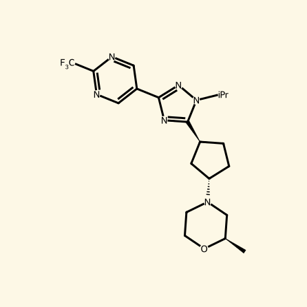 CC(C)n1nc(-c2cnc(C(F)(F)F)nc2)nc1[C@H]1CC[C@H](N2CCO[C@H](C)C2)C1